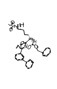 CS(=O)(=O)NCCCC[C@H](NC(=O)OCc1ccccc1)c1nc(-c2cccc(-c3ccccc3)c2)no1